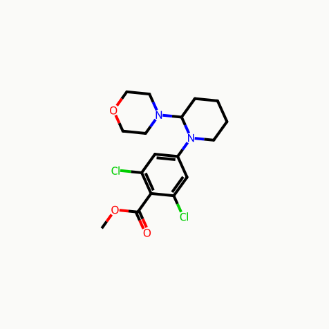 COC(=O)c1c(Cl)cc(N2CCCCC2N2CCOCC2)cc1Cl